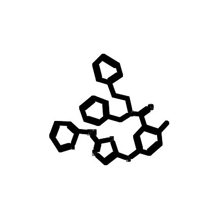 Cc1ccc(Sc2cnc(Nc3ccccn3)s2)cc1C(=O)N(CCc1ccccc1)Cc1ccccc1